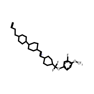 C=CCCC1CCC(C2CCC(/C=C/C3CCC(C(F)(F)Oc4ccc(OC(F)(F)F)c(F)c4)CC3)CC2)CC1